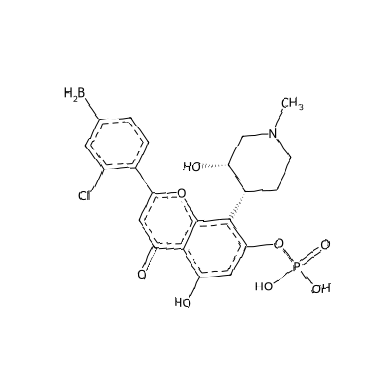 Bc1ccc(-c2cc(=O)c3c(O)cc(OP(=O)(O)O)c([C@H]4CCN(C)C[C@H]4O)c3o2)c(Cl)c1